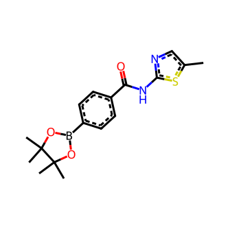 Cc1cnc(NC(=O)c2ccc(B3OC(C)(C)C(C)(C)O3)cc2)s1